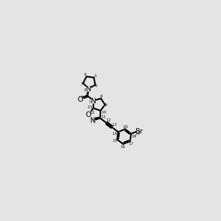 O=C(N1CCCC1)N1CCC2C(C#Cc3cccc(Br)c3)=NOC21